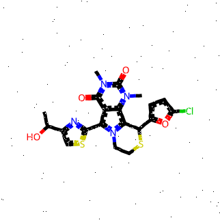 CC(O)c1csc(-c2c3c(=O)n(C)c(=O)n(C)c3c3n2CCSC3c2ccc(Cl)o2)n1